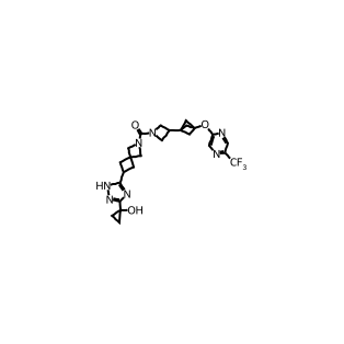 O=C(N1CC(C23CC(Oc4cnc(C(F)(F)F)cn4)(C2)C3)C1)N1CC2(CC(c3nc(C4(O)CC4)n[nH]3)C2)C1